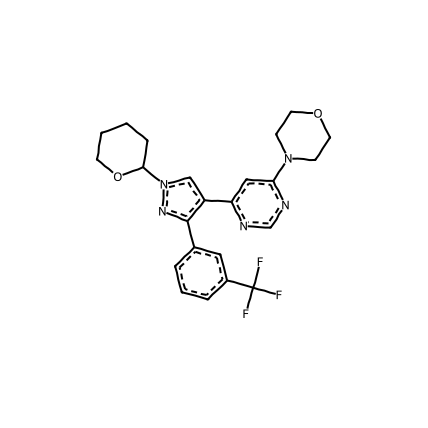 FC(F)(F)c1cccc(-c2nn(C3CCCCO3)cc2-c2cc(N3CCOCC3)ncn2)c1